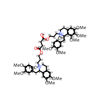 COc1ccc(CC2c3cc(OC)c(OC)cc3CC[N+]2(C)CCCOC(=O)CCC(=O)OCCC[N+]2(C)CCc3cc(OC)c(OC)c(OC)c3C2Cc2ccc(OC)c(OC)c2)cc1OC